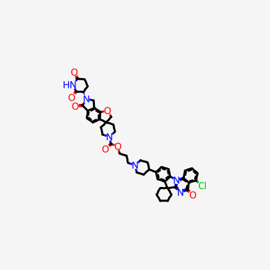 O=C1CC[C@H](N2Cc3c(ccc4c3OCC43CCN(C(=O)OCCCN4CCC(c5ccc6c(c5)C5(CCCCC5)c5nc(=O)c7c(Cl)cccc7n5-6)CC4)CC3)C2=O)C(=O)N1